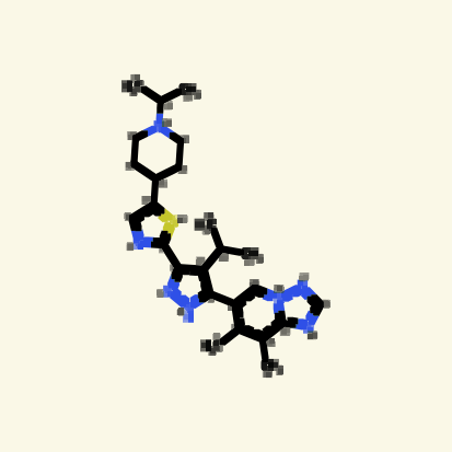 Cc1c(-c2[nH]nc(-c3ncc(C4CCN(C(C)C)CC4)s3)c2C(C)C)cn2ncnc2c1C